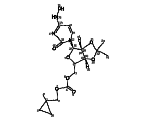 CC1(COC(=O)OCC2O[C@@H](n3ccc(NO)nc3=O)[C@@H]3OC(C)(C)O[C@H]23)CC1